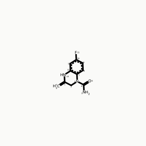 C=C1CN(C(N)=O)c2ccc(F)cc2N1